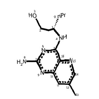 CCC[C@@H](CO)Nc1nc(N)nc2cc(C)cnc12